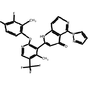 Cc1c(Oc2ncc(C(F)(F)F)c(C)c2-c2cc(=O)c3c(-n4cccn4)nccc3[nH]2)ccc(F)c1F